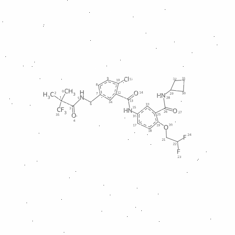 CC(C)(C(=O)NCc1ccc(Cl)c(C(=O)Nc2ccc(OCC(F)F)c(C(=O)NC3CCC3)c2)c1)C(F)(F)F